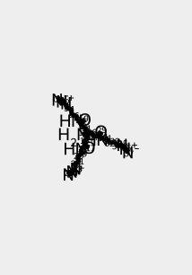 [N-]=[N+]=NCCCCNC(=O)CCC(N)(CCC(=O)NCCCCN=[N+]=[N-])CCC(=O)NCCCCN=[N+]=[N-]